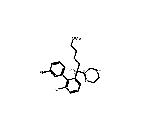 CCc1cccc(-c2c(Cl)cccc2[C@@](O)(CCCCOC)[C@H]2CNCCO2)c1